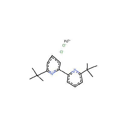 CC(C)(C)c1cccc(-c2cccc(C(C)(C)C)n2)n1.[Cl-].[Cl-].[Pd+2]